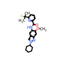 COc1cc2nn(C3CCCCC3)cc2cc1NC(=O)c1cccc(C(C)(C)F)n1